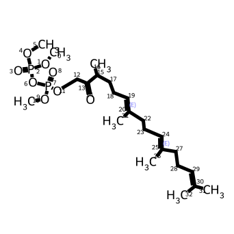 COP(=O)(OC)OP(=O)(OC)OCC(=O)C(C)CC/C=C(\C)CC/C=C(\C)CCC=C(C)C